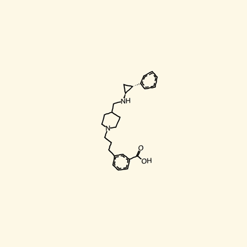 O=C(O)c1cccc(CCCN2CCC(CN[C@H]3C[C@@H]3c3ccccc3)CC2)c1